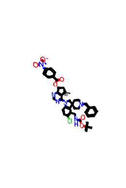 C[C@@H]1C[C@@H](OC(=O)c2ccc([N+](=O)[O-])cc2)c2ncnc(N3CC4(CCN(Cc5ccccc5)CC4)c4c3ccc(Cl)c4CNC(=O)OC(C)(C)C)c21